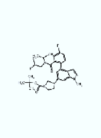 CC(C)N(CC(F)F)C(=O)c1cc(F)ccc1-c1cc([C@H]2CCN(C(=O)OC(C)(C)C)C2)cc2c1cnn2C